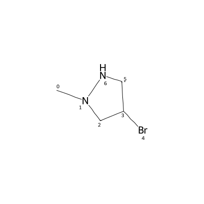 CN1CC(Br)[CH]N1